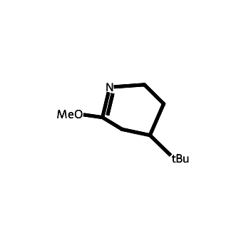 COC1=NCCC(C(C)(C)C)C1